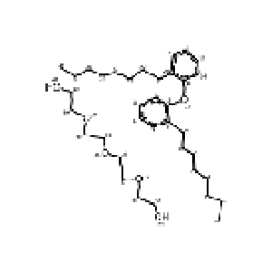 CCCCCCCCc1ccccc1Oc1ccccc1CCCCCCCC.OCCOCCOCCOCCO